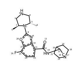 C[C@H]1CNC[C@H](C)N1c1nc2c(C(=O)NC3CN4CCC3CC4)ccc(F)c2o1